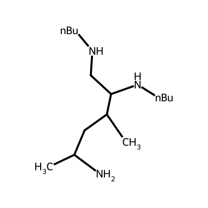 CCCCNCC(NCCCC)C(C)CC(C)N